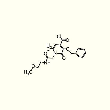 COCCNC(=O)Cn1c(C)cc(C(=O)Cl)c(OCc2ccccc2)c1=O